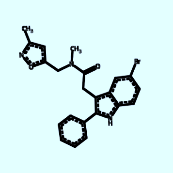 Cc1cc(CN(C)C(=O)Cc2c(-c3ccccc3)[nH]c3ccc(Br)cc23)on1